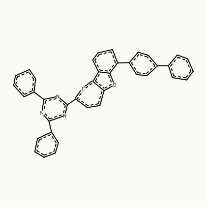 c1ccc(-c2ccc(-c3cccc4c3oc3ccc(-c5nc(-c6ccccc6)nc(-c6ccccc6)n5)cc34)cc2)cc1